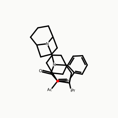 CC(=O)c1nc2ccccc2n(C2CC3CCCC(C2)N3C2CC3CC(CC(C(C)C)C3)C2)c1=O